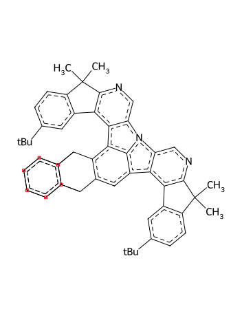 CC(C)(C)c1ccc2c(c1)-c1c(ncc3c1c1cc4c(c5c6c7c(ncc6n3c15)C(C)(C)c1ccc(C(C)(C)C)cc1-7)C1c3ccccc3C4c3ccccc31)C2(C)C